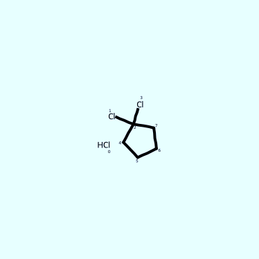 Cl.ClC1(Cl)CCCC1